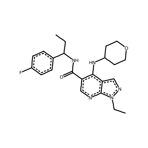 CCC(NC(=O)c1cnc2c(cnn2CC)c1NC1CCOCC1)c1ccc(F)cc1